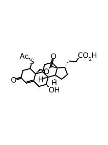 CC(=O)SC1CC(=O)C=C2C[C@H](O)[C@@H]3C4CC[C@]5(C(=O)OC[C@@]214)[C@H](CCC(=O)O)CC[C@@H]35